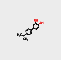 CC(C)c1ccc(-c2ccc(O)c(O)c2)cc1